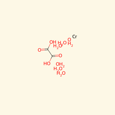 O.O.O.O.O.O.O=C(O)C(=O)O.[Cr]